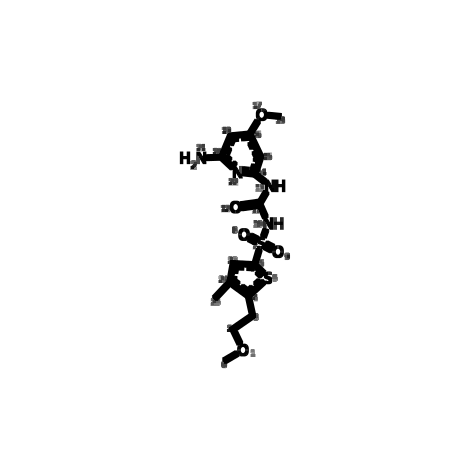 COCCc1sc(S(=O)(=O)NC(=O)Nc2cc(OC)cc(N)n2)cc1C